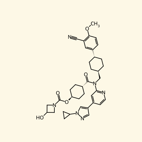 COc1ccc([C@H]2CC[C@H](CN(c3cc(-c4cnn(C5CC5)c4)ccn3)C(=O)[C@H]3CC[C@H](OC(=O)N4CC(O)C4)CC3)CC2)cc1C#N